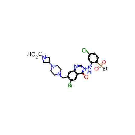 CCS(=O)(=O)c1ccc(Cl)cc1Nn1cnc2cc(CN3CCN(C4CN(C(=O)O)C4)CC3)c(Br)cc2c1=O